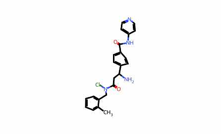 Cc1ccccc1CN(Cl)C(=O)CC(N)c1ccc(C(=O)Nc2ccncc2)cc1